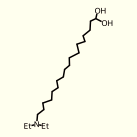 CCN(CC)CCCCCCCCCCCCCCCCCC(O)O